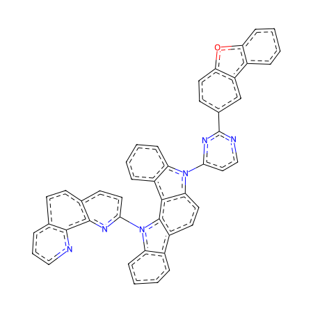 c1cnc2c(c1)ccc1ccc(-n3c4ccccc4c4ccc5c(c6ccccc6n5-c5ccnc(-c6ccc7oc8ccccc8c7c6)n5)c43)nc12